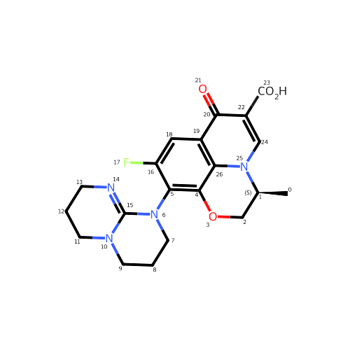 C[C@H]1COc2c(N3CCCN4CCCN=C43)c(F)cc3c(=O)c(C(=O)O)cn1c23